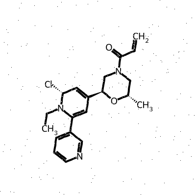 C=CC(=O)N1C[C@H](C)O[C@@H](C2=C[C@@H](Cl)N(CC)C(c3cccnc3)=C2)C1